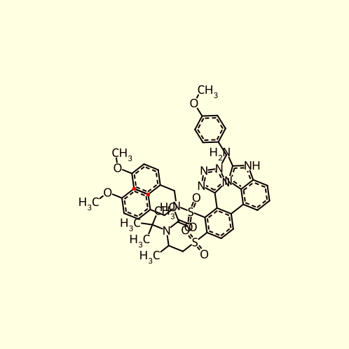 COc1ccc(CN(Cc2ccc(OC)cc2)S(=O)(=O)c2c(S(=O)(=O)CC(C)N(C(=O)O)C(C)(C)C)ccc(-c3cccc4[nH]c(N)nc34)c2-c2nnn(Cc3ccc(OC)cc3)n2)cc1